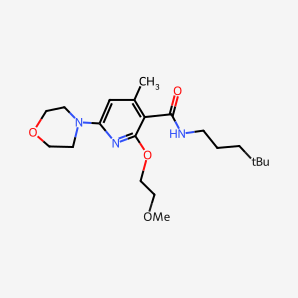 COCCOc1nc(N2CCOCC2)cc(C)c1C(=O)NCCCC(C)(C)C